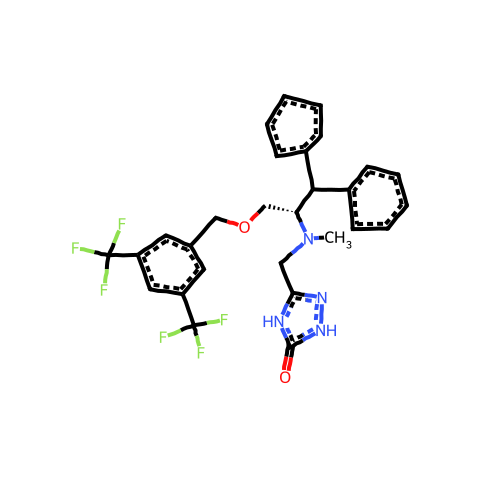 CN(Cc1n[nH]c(=O)[nH]1)[C@H](COCc1cc(C(F)(F)F)cc(C(F)(F)F)c1)C(c1ccccc1)c1ccccc1